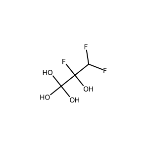 OC(O)(O)C(O)(F)C(F)F